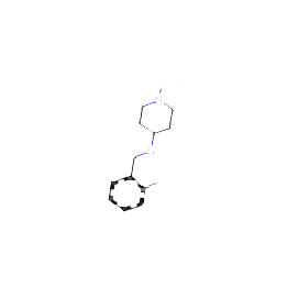 CN1CCC(NCc2ccccc2Cl)CC1